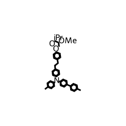 COC(COc1ccc(CCc2ccc(N(c3ccc(C)cc3)c3ccc(-c4ccc(C)cc4)cc3)cc2)cc1)C(=O)C(C)C